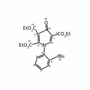 CCOC(=O)c1cn(-c2ccccc2C(C)(C)C)c(C(=O)OCC)c(C(=O)OCC)c1=O